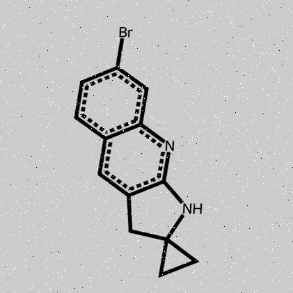 Brc1ccc2cc3c(nc2c1)NC1(CC1)C3